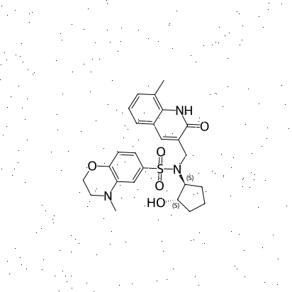 Cc1cccc2cc(CN([C@H]3CCC[C@@H]3O)S(=O)(=O)c3ccc4c(c3)N(C)CCO4)c(=O)[nH]c12